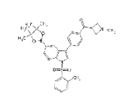 Cc1ccccc1S(=O)(=O)n1cc(-c2ccc(C(=O)C3CN(C)C3)cc2)c2cc(B3OC(C)(C)C(C)(C)O3)cnc21